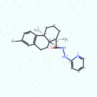 CC(C)c1ccc2c(c1)CC[C@H]1[C@](C)(C(=O)NNc3ccccn3)CCC[C@]21C